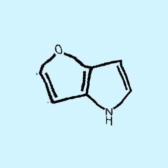 [c]1[c]c2[nH]ccc2o1